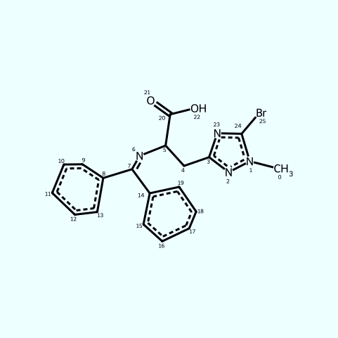 Cn1nc(CC(N=C(c2ccccc2)c2ccccc2)C(=O)O)nc1Br